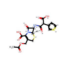 CC(=O)OCC1=C(C(=O)O)N2C(=O)[C@@H](NC(=O)C(C(=O)O)c3ccsc3)[C@H]2SC1